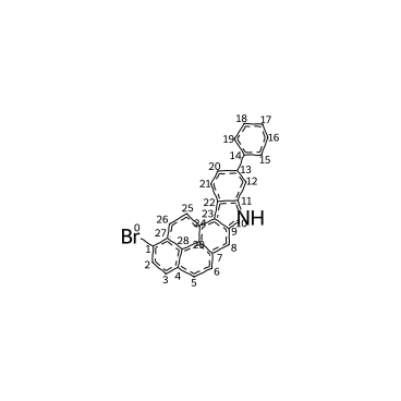 Brc1ccc2ccc3cc4[nH]c5cc(-c6ccccc6)ccc5c4c4ccc1c2c34